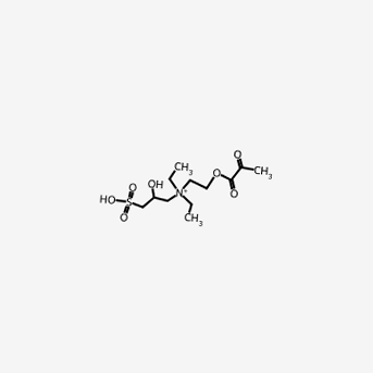 CC[N+](CC)(CCOC(=O)C(C)=O)CC(O)CS(=O)(=O)O